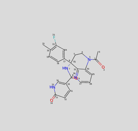 CC(=O)N1CC[C@](NC(=O)c2ccc(=O)[nH]c2)(c2ccc(C)c(F)c2)c2ncccc21